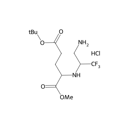 COC(=O)C(CCC(=O)OC(C)(C)C)NC(CN)C(F)(F)F.Cl